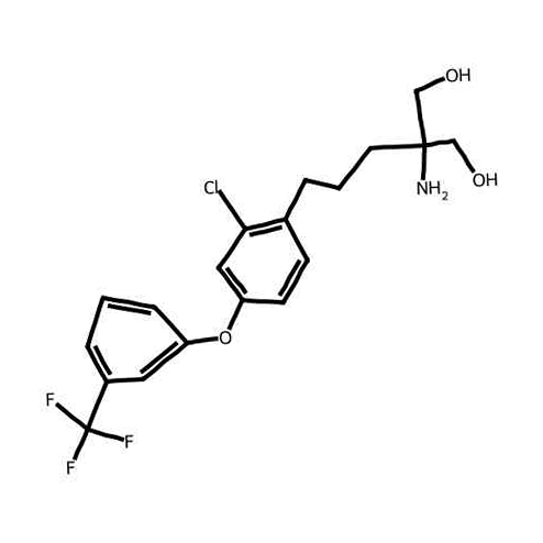 NC(CO)(CO)CCCc1ccc(Oc2cccc(C(F)(F)F)c2)cc1Cl